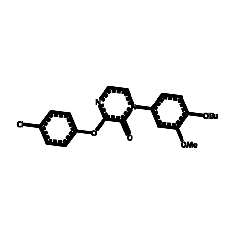 COc1cc(-n2ccnc(Oc3ccc(Cl)cc3)c2=O)ccc1OCC(C)C